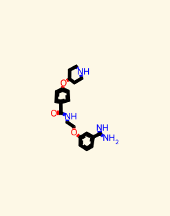 N=C(N)c1cccc(OCCNC(=O)c2ccc(OC3CCNCC3)cc2)c1